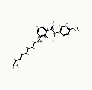 Cc1ccc(NC(=O)c2cccc(NCCCCCCCN)c2C)cn1